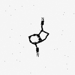 N#Cc1cccc2c1CCC2C#N